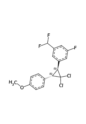 COc1ccc([C@@H]2[C@@H](c3cc(F)cc(C(F)F)c3)C2(Cl)Cl)cc1